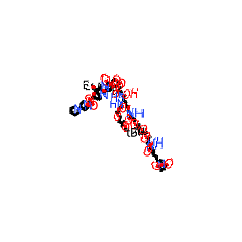 CCc1c2c(nc3ccc(OC(=O)N4CCC(N5CCCCC5)CC4)cc13)-c1cc3c(c(=O)n1C2)COC(=O)[C@@]3(CC)OC(=O)CNC(O)C(CCCCNC(=O)COCCOCCOCCNC(=O)CCCCCN1C(=O)C=CC1=O)NC(=O)CC(C)(C)OCCC(C)(C)OCC(C)(C)C